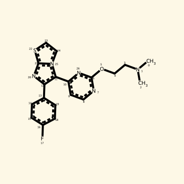 CN(C)CCOc1nccc(-c2c(-c3ccc(F)cc3)nc3sccn23)n1